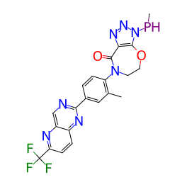 CPn1nnc2c1OCCN(c1ccc(-c3ncc4nc(C(F)(F)F)ccc4n3)cc1C)C2=O